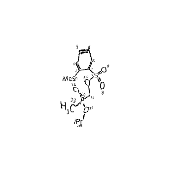 CSc1ccccc1S(=O)(=O)OCP(C)(=O)OC(C)C